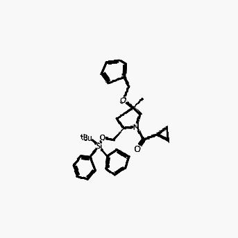 CC(C)(C)[Si](OC[C@H]1C[C@](C)(OCc2ccccc2)CN1C(=O)C1CC1)(c1ccccc1)c1ccccc1